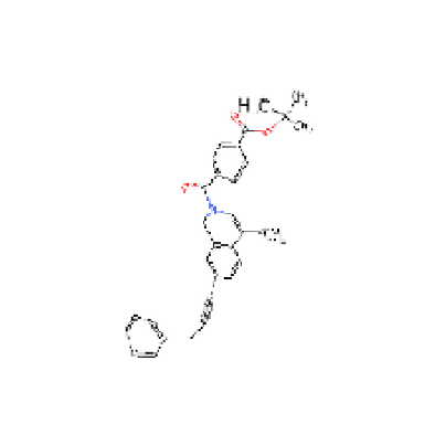 CC1=CN(C(=O)c2ccc(C(=O)OC(C)(C)C)cc2)Cc2cc(C#CCc3ccccc3)ccc21